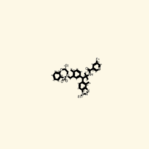 CC[C@@H]1CN(Cc2cc(C(c3ccc4c(nnn4CC)c3C)C(C)(C)NC(=O)c3cncc(F)c3)ccc2C)S(=O)(=O)c2ccccc2O1